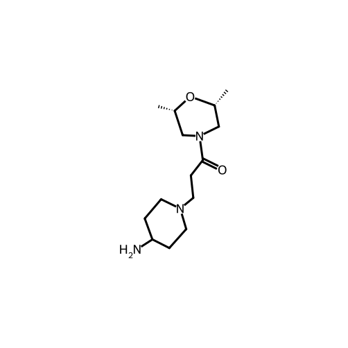 C[C@@H]1CN(C(=O)CCN2CCC(N)CC2)C[C@H](C)O1